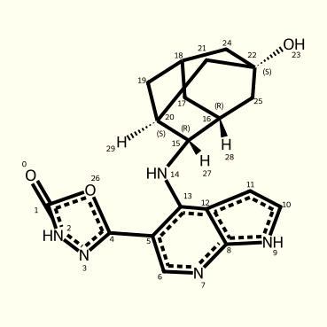 O=c1[nH]nc(-c2cnc3[nH]ccc3c2N[C@H]2[C@@H]3CC4C[C@H]2C[C@@](O)(C4)C3)o1